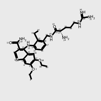 CCOc1cc2ncc(C(N)=O)c(Nc3cccc(CNC(=O)[C@@H](N)CCCNC(=N)N)c3CC)c2cc1OCC